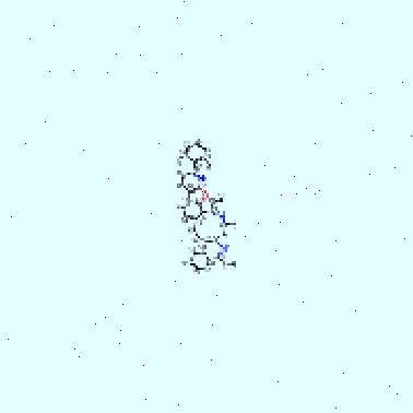 C=CC1=NC2CC(=C)/N=C(/C=C)c3c(ccc4c3oc3nc(-c5c(C)cccc5C)ccc34)CCC2c2ccccc21